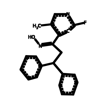 Cc1cnc(F)cc1C(CC(c1ccccc1)c1ccccc1)=NO